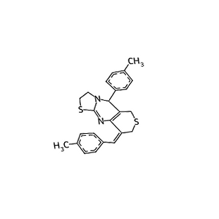 Cc1ccc(/C=C2/CSCC3=C2N=C2SCCN2C3c2ccc(C)cc2)cc1